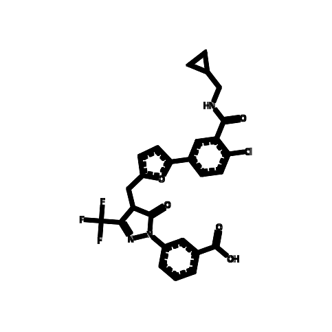 O=C(O)c1cccc(N2N=C(C(F)(F)F)C(Cc3ccc(-c4ccc(Cl)c(C(=O)NCC5CC5)c4)o3)C2=O)c1